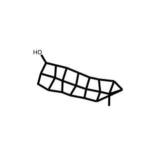 CC12C3C1C1C4C5C6C7C(O)C8CC9C%10C%11C%12C3C12C%124C%115C%106C897